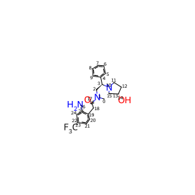 CN(C[C@@H](c1ccccc1)N1CC[C@H](O)C1)C(=O)Cc1ccc(C(F)(F)F)cc1N